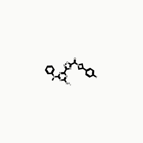 CN(c1ccccc1)c1nc(N)nc(-c2noc(C(=O)N3CC(c4ccc(F)cc4)C3)n2)n1